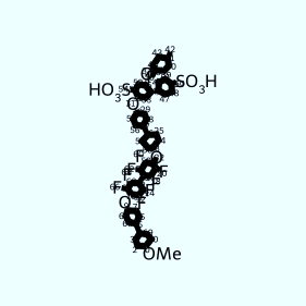 COc1ccc(-c2ccc(Oc3c(F)c(F)c(-c4c(F)c(F)c(Oc5ccc(-c6ccc(Oc7ccc(P(=O)(c8ccc(C)cc8)c8cccc(S(=O)(=O)O)c8)cc7S(=O)(=O)O)cc6)cc5)c(F)c4F)c(F)c3F)cc2)cc1